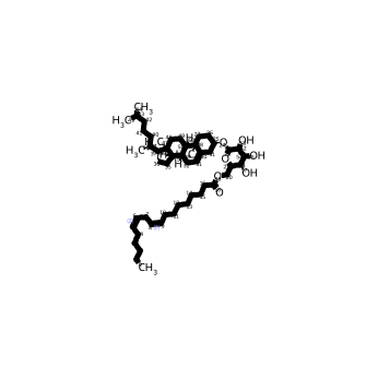 CCCCC/C=C\C/C=C\CCCCCCCC(=O)OCC1O[C@@H](O[C@H]2CC[C@@]3(C)C(=CC[C@H]4[C@@H]5CC[C@H]([C@H](C)CCCC(C)C)[C@@]5(C)CC[C@@H]43)C2)C(O)C(O)[C@@H]1O